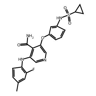 Cc1ccc(Nc2cncc(Oc3cccc(NS(=O)(=O)C4CC4)c3)c2C(N)=O)c(F)c1